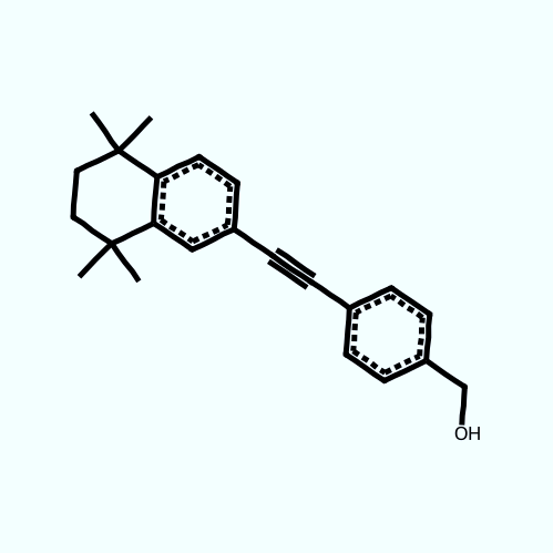 CC1(C)CCC(C)(C)c2cc(C#Cc3ccc(CO)cc3)ccc21